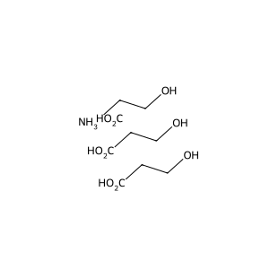 N.O=C(O)CCO.O=C(O)CCO.O=C(O)CCO